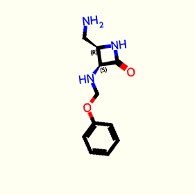 NC[C@H]1NC(=O)[C@H]1NCOc1ccccc1